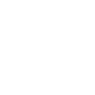 N#CC1CCCC2C3=C(CCC12)C1CCC2CCCCC2=C1CC3